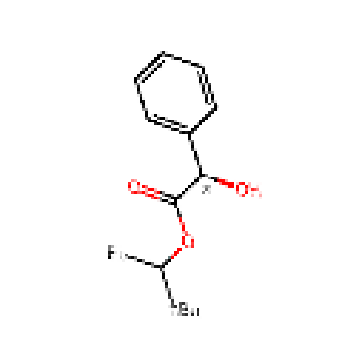 CCCCC(CC)OC(=O)[C@H](O)c1ccccc1